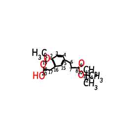 COc1ccc(CCC(=O)OC(C)(C)C)cc1CC(=O)O